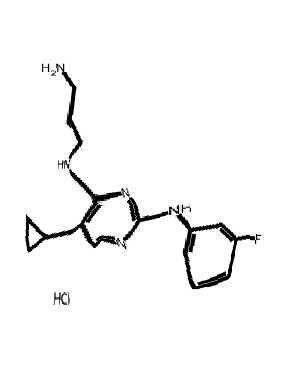 Cl.NCCCNc1nc(Nc2cccc(F)c2)ncc1C1CC1